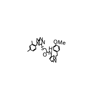 COc1ccc(Cn2nccc2NC(=O)CSc2nnnn2-c2ccc(C)cc2C)cc1